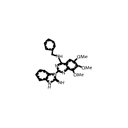 COc1cc2c(NCc3ccccc3)nc(-n3c(=N)[nH]c4ccccc43)nc2c(OC)c1OC